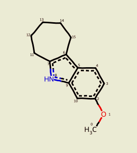 COc1ccc2c3c([nH]c2c1)CCCCC3